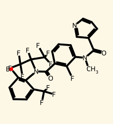 CN(C(=O)c1cccnc1)c1cccc(C(=O)N(c2c(Br)cccc2C(F)(F)F)C(F)(C(F)(F)F)C(F)(F)F)c1F